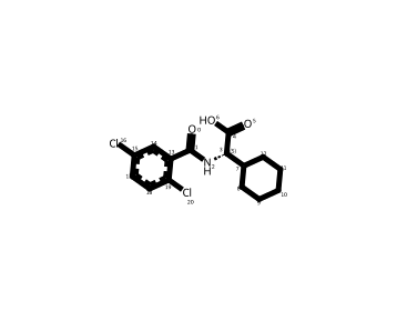 O=C(N[C@H](C(=O)O)C1CCCCC1)c1cc(Cl)ccc1Cl